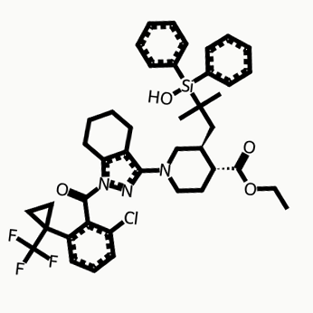 CCOC(=O)[C@@H]1CCN(c2nn(C(=O)c3c(Cl)cccc3C3(C(F)(F)F)CC3)c3c2CCCC3)C[C@H]1CC(C)(C)[Si](O)(c1ccccc1)c1ccccc1